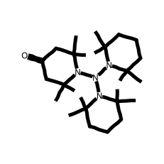 CC1(C)CCCC(C)(C)N1N(N1C(C)(C)CCCC1(C)C)N1C(C)(C)CC(=O)CC1(C)C